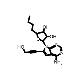 CCCCC1OC(n2c(C#CCO)cc3c(N)ncnc32)C(O)C1O